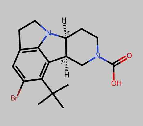 CC(C)(C)c1c(Br)cc2c3c1[C@@H]1CN(C(=O)O)CC[C@@H]1N3CC2